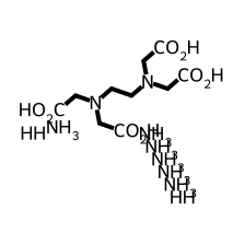 N.N.N.N.N.N.O=C(O)CN(CCN(CC(=O)O)CC(=O)O)CC(=O)O.[HH].[HH]